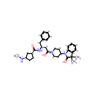 CN[C@@H]1CC[C@H](C(=O)N[C@H](CC(=O)N2CCC(N3C(=O)C(C)(C)c4ccccc43)CC2)Cc2ccccc2)C1